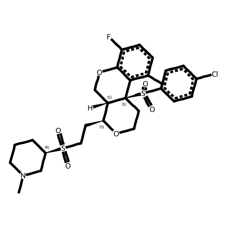 CN1CCC[C@@H](S(=O)(=O)CC[C@@H]2OCC[C@@]3(S(=O)(=O)c4ccc(Cl)cc4)c4c(F)ccc(F)c4OC[C@@H]23)C1